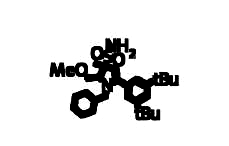 COCC1N(CC2CCCCC2)C(c2cc(C(C)(C)C)cc(C(C)(C)C)c2)=CC1(C)S(N)(=O)=O